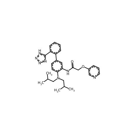 CC(C)CN(CC(C)C)c1ccc(-c2ccccc2-c2nnn[nH]2)cc1NC(=O)COc1cccnc1